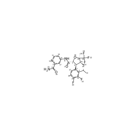 CCc1c([C@H]2[C@H](C(=O)Nc3ccnc(C(N)=O)c3)O[C@@](C)(C(F)(F)F)[C@H]2C)ccc(F)c1F